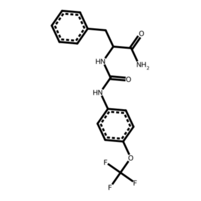 NC(=O)C(Cc1ccccc1)NC(=O)Nc1ccc(OC(F)(F)F)cc1